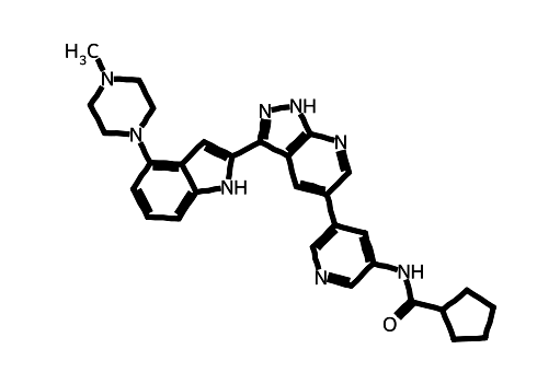 CN1CCN(c2cccc3[nH]c(-c4n[nH]c5ncc(-c6cncc(NC(=O)C7CCCC7)c6)cc45)cc23)CC1